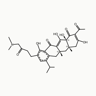 CC(=O)C1=C(O)C[C@]2(C)C[C@]3(C)Cc4c(C(C)C)cc(CCC(=O)CN(C)C)c(O)c4C(=O)C3=C(O)[C@]2(O)C1=O